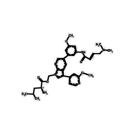 COc1cc(NC(=O)/C=C/CN(C)C)cc(-c2cnc3c(c2)c(-c2ccnc(OC)c2)cn3COC(=O)[C@@H](N)CC(C)C)c1